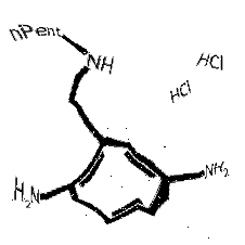 CCCCCNCc1cc(N)ccc1N.Cl.Cl